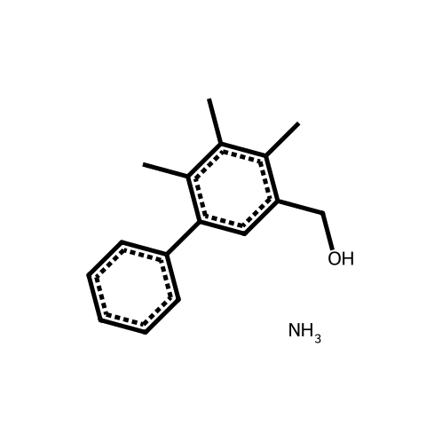 Cc1c(CO)cc(-c2ccccc2)c(C)c1C.N